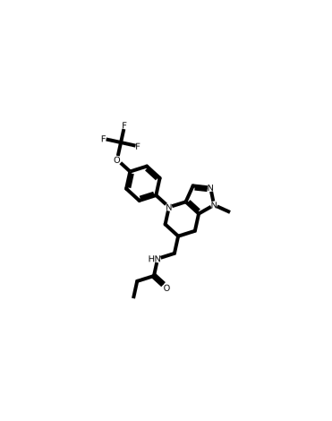 CCC(=O)NCC1Cc2c(cnn2C)N(c2ccc(OC(F)(F)F)cc2)C1